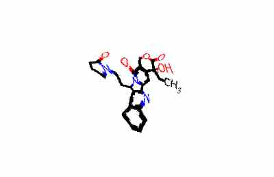 CC[C@@]1(O)C(=O)OCc2c1cc1n(c2=O)C(CCN2CCCC2=O)c2cc3ccccc3nc2-1